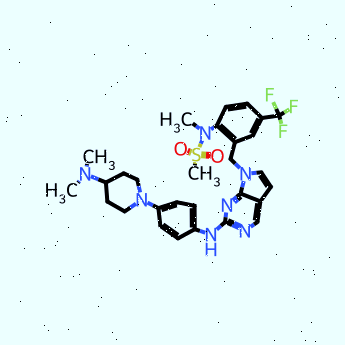 CN(C)C1CCN(c2ccc(Nc3ncc4ccn(Cc5cc(C(F)(F)F)ccc5N(C)S(C)(=O)=O)c4n3)cc2)CC1